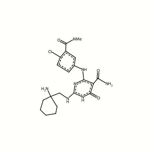 CNC(=O)c1cc(Nc2nc(NCC3(N)CCCCC3)[nH]c(=O)c2C(N)=O)ccc1Cl